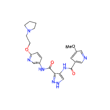 COc1cncc(C(=O)Nc2c[nH]nc2C(=O)Nc2ccc(OCCN3CCCC3)nc2)c1